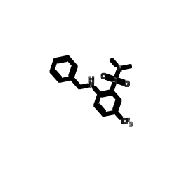 CN(C)S(=O)(=O)c1cc(C(F)(F)F)ccc1NCc1ccccc1